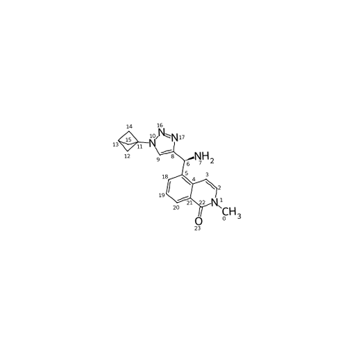 Cn1ccc2c([C@H](N)c3cn(C45CC(C4)C5)nn3)cccc2c1=O